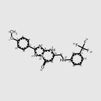 COc1ccc(-c2nc3[nH]c(CNc4cccc(C(F)(F)F)c4)cc(=O)n3n2)cc1